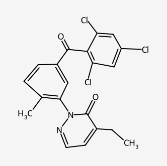 CCc1ccnn(-c2cc(C(=O)c3c(Cl)cc(Cl)cc3Cl)ccc2C)c1=O